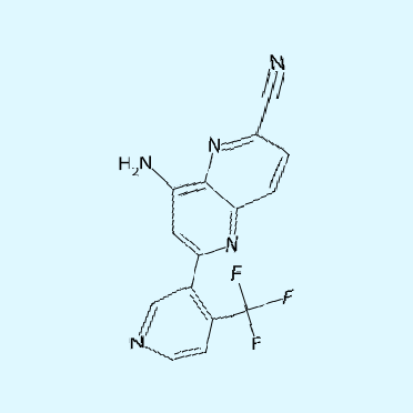 N#Cc1ccc2nc(-c3cnccc3C(F)(F)F)cc(N)c2n1